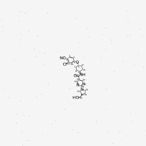 N#Cc1ccc(O[C@H]2CC[C@H](NC(=O)c3cnc(N4CC[C@@H](CO)C4)nc3)CC2)cc1Cl